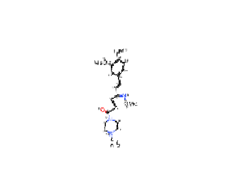 CON=C(/C=C/C(=O)N1CCN(C)CC1)/C=C/c1ccc(OC)c(OC)c1